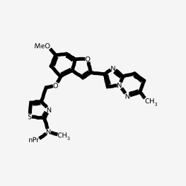 CCCN(C)c1nc(COc2cc(OC)cc3oc(-c4cn5nc(C)ccc5n4)cc23)cs1